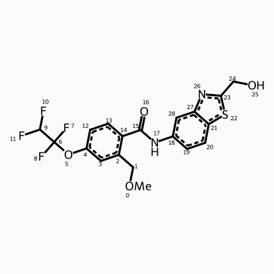 COCc1cc(OC(F)(F)C(F)F)ccc1C(=O)Nc1ccc2sc(CO)nc2c1